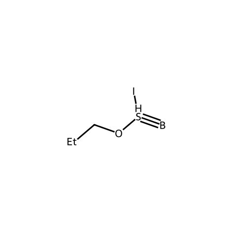 B#[SH](I)OCCC